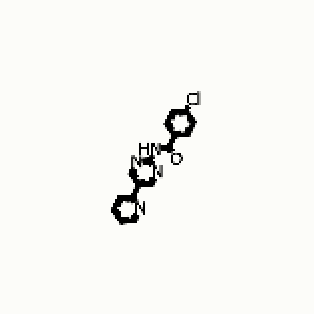 O=C(Nc1ncc(-c2ccccn2)cn1)c1ccc(Cl)cc1